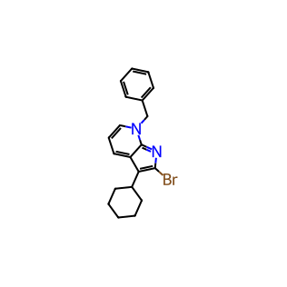 Brc1nc2n(Cc3ccccc3)cccc-2c1C1CCCCC1